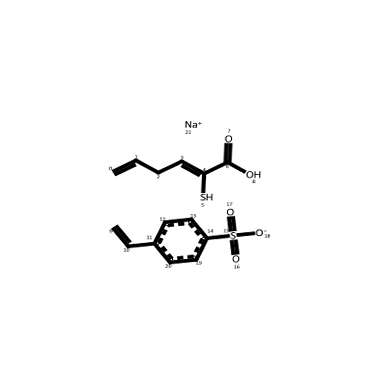 C=CCC=C(S)C(=O)O.C=Cc1ccc(S(=O)(=O)[O-])cc1.[Na+]